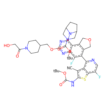 CC(C)(C)OC(=O)Nc1sc2c(F)cnc(-c3c4c(c5c(N6C7CCC6CN(C(=O)OC(C)(C)C)C7)nc(OCC6CCN(C(=O)CO)CC6)nc5c3F)COC4)c2c1C#N